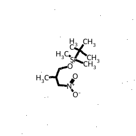 CC(CO[Si](C)(C)C(C)(C)C)C[N+](=O)[O-]